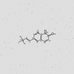 C[Si](C)(C)/C=C/c1cnc2[nH]c(=O)ccc2c1